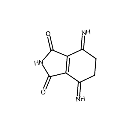 N=C1CCC(=N)C2=C1C(=O)NC2=O